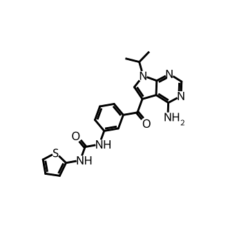 CC(C)n1cc(C(=O)c2cccc(NC(=O)Nc3cccs3)c2)c2c(N)ncnc21